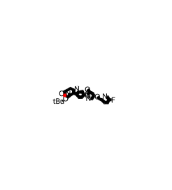 Cn1c2c(c3ccc(-n4ncc(OCc5ccc(F)cn5)cc4=O)cc31)C1CCCC(C2)N1C(=O)OC(C)(C)C